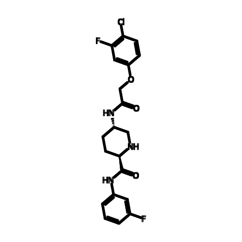 O=C(COc1ccc(Cl)c(F)c1)N[C@H]1CC[C@H](C(=O)Nc2cccc(F)c2)NC1